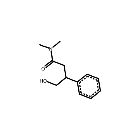 CN(C)C(=O)CC(CO)c1ccccc1